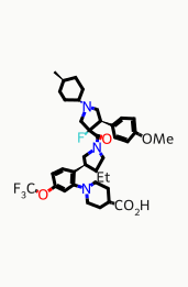 CC[C@H]1CN(C(=O)[C@]2(F)CN([C@H]3CC[C@H](C)CC3)C[C@H]2c2ccc(OC)cc2)C[C@@H]1c1ccc(OC(F)(F)F)cc1N1CCC(C(=O)O)CC1